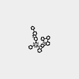 c1ccc(-c2ccc3c(c2)sc2cc(-c4nc(-c5ccccc5)nc(-n5c6ccccc6c6cc7c8cccc9c8n(c7cc65)-c5ccccc5-c5ccccc5-9)n4)ccc23)cc1